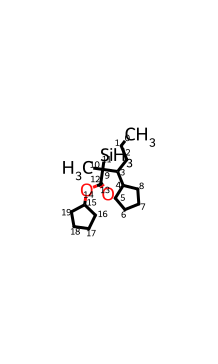 CCCC(C1CCCC1)C(C)([SiH3])C(=O)OC1CCCC1